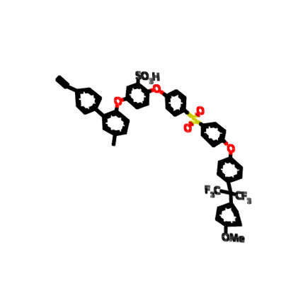 C#Cc1ccc(-c2cc(C)ccc2Oc2ccc(Oc3ccc(S(=O)(=O)c4ccc(Oc5ccc(C(c6ccc(OC)cc6)(C(F)(F)F)C(F)(F)F)cc5)cc4)cc3)c(S(=O)(=O)O)c2)cc1